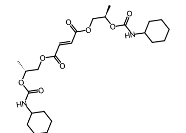 C[C@H](COC(=O)/C=C/C(=O)OC[C@@H](C)OC(=O)NC1CCCCC1)OC(=O)NC1CCCCC1